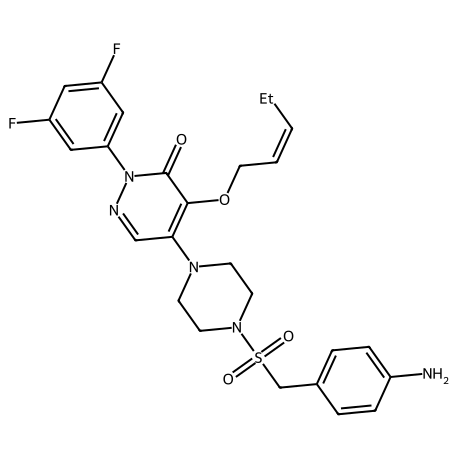 CC/C=C\COc1c(N2CCN(S(=O)(=O)Cc3ccc(N)cc3)CC2)cnn(-c2cc(F)cc(F)c2)c1=O